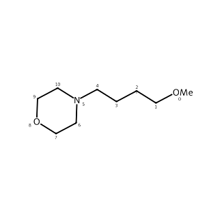 COC[CH]CCN1CCOCC1